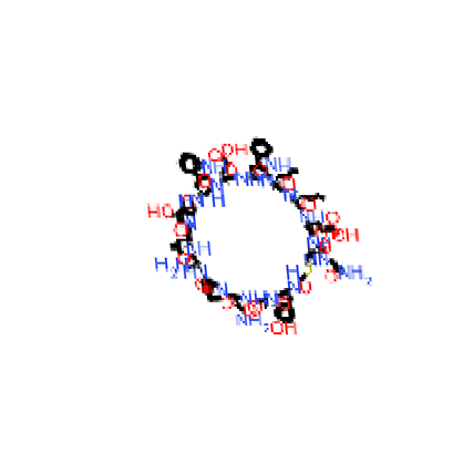 CCCC[C@H]1C(=O)N(C)[C@@H](CCCC)C(=O)N[C@@H](CCC(=O)O)C(=O)N[C@H](C(=O)NCC(N)=O)CSCC(=O)N[C@@H](Cc2ccc(O)cc2)C(=O)N(C)[C@@H](C)C(=O)N[C@@H](CC(N)=O)C(=O)N2CCC[C@H]2C(=O)N[C@@H](CN)C(=O)N[C@@H](CC(C)C)C(=O)N2C[C@H](O)C[C@H]2C(=O)N[C@@H](Cc2c[nH]c3ccccc23)C(=O)N[C@@H](CCC(=O)O)C(=O)N[C@@H](Cc2c[nH]c3ccccc23)C(=O)N1C